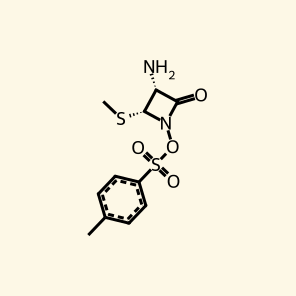 CS[C@@H]1[C@H](N)C(=O)N1OS(=O)(=O)c1ccc(C)cc1